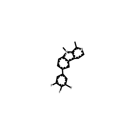 Cc1nccc2c3cc(-c4cc(F)c(F)c(F)c4)ccc3n(C)c12